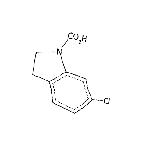 O=C(O)N1CCc2ccc(Cl)cc21